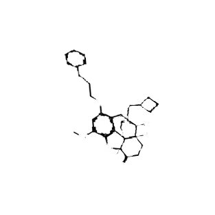 COc1cc(OCCCc2ccccc2)c2c3c1O[C@H]1C(=O)CC[C@H]4[C@@H](C2)N(CC2CCC2)CC[C@]314